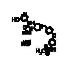 CCCCN(C(=O)Nc1cncc(O)c1)C1CCN(Cc2ccc(Oc3ccc(NS(C)(=O)=O)cc3)cc2)CC1.Cl.Cl